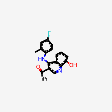 Cc1cc(F)ccc1Nc1c(C(=O)C(C)C)cnc2c(O)cccc12